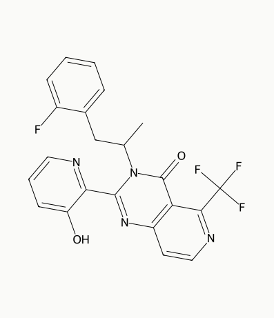 CC(Cc1ccccc1F)n1c(-c2ncccc2O)nc2ccnc(C(F)(F)F)c2c1=O